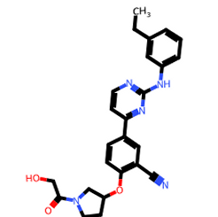 CCc1cccc(Nc2nccc(-c3ccc(OC4CCN(C(=O)CO)C4)c(C#N)c3)n2)c1